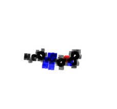 Cc1cccc(Nc2nnc(-c3cccc(Oc4nccc5ccccc45)c3)[nH]2)c1